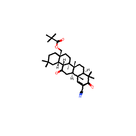 CC1(C)CC[C@]2(COC(=O)C(C)(C)C)CC[C@]3(C)[C@H](C(=O)C[C@@H]4[C@@]5(C)C=C(C#N)C(=O)C(C)(C)[C@@H]5CC[C@]43C)[C@@H]2C1